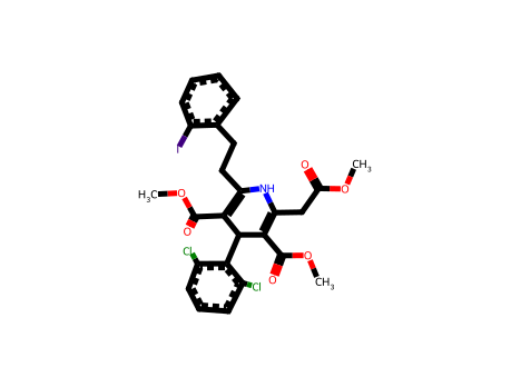 COC(=O)CC1=C(C(=O)OC)C(c2c(Cl)cccc2Cl)C(C(=O)OC)=C(CCc2ccccc2I)N1